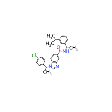 CC(C)c1cccc([C@H](C)NC(=O)c2ccc3c(c2)ncn3[C@@H](C)c2ccc(Cl)cc2)c1